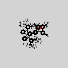 Cc1cc(-c2cc(C#N)ccc2-n2c3ccccc3c3cc(-c4cc5c6c(c4)N(c4cc(C(C)(C)C)cc(C(C)(C)C)c4)c4ccccc4B6c4ccccc4N5c4cc(C(C)(C)C)cc(C(C)(C)C)c4)ccc32)cc(C(F)(F)F)c1